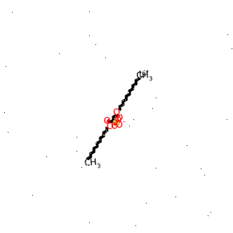 CCCCCCCCCCCCCCOC(=O)CC(C(=O)OCCCCCCCCCCCCCC)S(=O)(=O)[O-].[Li+]